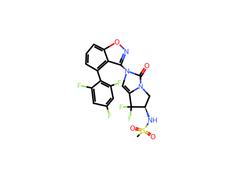 CS(=O)(=O)N[C@@H]1Cn2c(cn(-c3noc4cccc(-c5c(F)cc(F)cc5F)c34)c2=O)C1(F)F